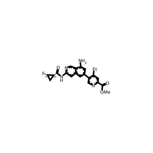 CCc1cc(C(=O)OC)ncc1-c1cc(N)c2cnc(NC(=O)[C@@H]3C[C@@H]3F)cc2c1